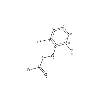 CC(C)C(=O)COc1c(F)cccc1F